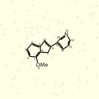 COc1cccc2c1CC(c1cccnc1)=C2